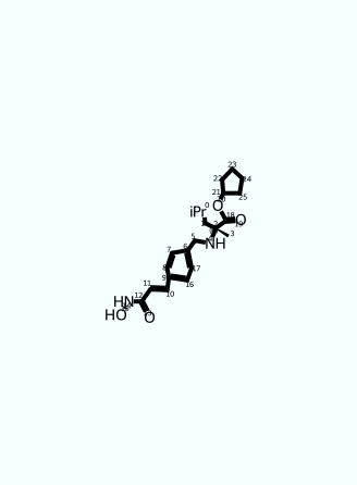 CC(C)C[C@@](C)(NCc1ccc(C=CC(=O)NO)cc1)C(=O)OC1CCCC1